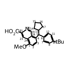 COc1ccc(C(c2ccc(C(C)(C)C)cc2)C2CCCC2)c2cnc(C(=O)O)cc12